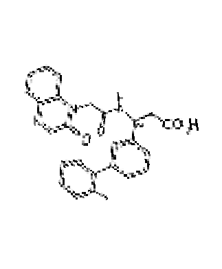 Cc1ccccc1-c1cccc([C@H](CC(=O)O)NC(=O)Cn2c(=O)cnc3ccccc32)c1